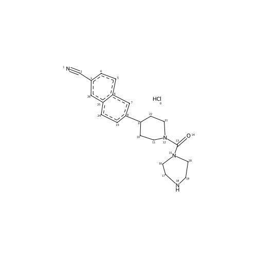 Cl.N#Cc1ccc2cc(C3CCN(C(=O)N4CCNCC4)CC3)ccc2c1